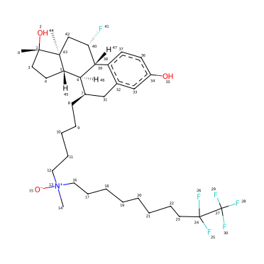 C[C@]1(O)CC[C@H]2[C@@H]3[C@H](CCCCC[N+](C)([O-])CCCCCCCCC(F)(F)C(F)(F)F)Cc4cc(O)ccc4[C@H]3[C@@H](F)C[C@@]21C